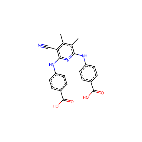 Cc1c(Nc2ccc(C(=O)O)cc2)nc(Nc2ccc(C(=O)O)cc2)c(C#N)c1C